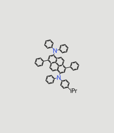 CC(C)c1ccc(N(c2ccccc2)c2cc(-c3ccccc3)c3ccc4c(N(c5ccccc5)c5ccccc5)cc(-c5ccccc5)c5ccc2c3c54)cc1